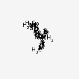 COc1cc2c(Oc3ccc(N(C(C)=O)C(N)=S)cc3F)ccnc2cc1OCCN1CCN(C)CC1.c1cc2cc-2c1